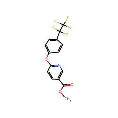 COC(=O)c1ccc(Oc2ccc(C(F)(F)C(F)(F)F)cc2)nc1